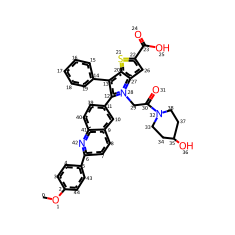 COc1ccc(-c2ccc3cc(-c4c(-c5ccccc5)c5sc(C(=O)O)cc5n4CC(=O)N4CCC(O)CC4)ccc3n2)cc1